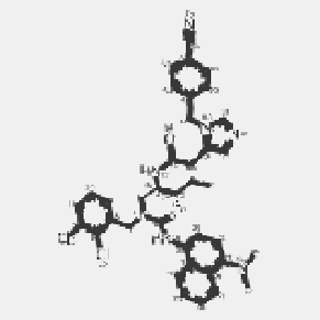 CC[C@H](C)[C@@H](CN(Cc1cccc(Cl)c1Cl)C(=S)Nc1ccc(N(C)C)c2ccccc12)NC(=O)Cc1cncn1Cc1ccc(C#N)cc1